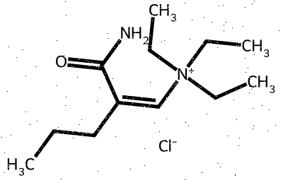 CCCC(=C[N+](CC)(CC)CC)C(N)=O.[Cl-]